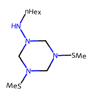 CCCCCCNN1CN(SC)CN(SC)C1